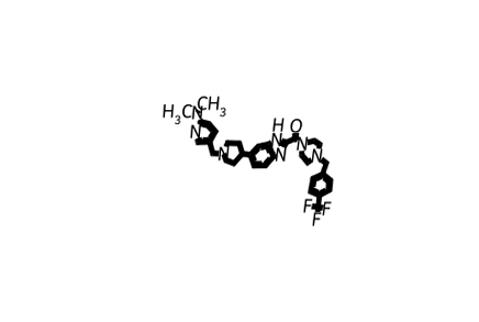 CN(C)c1ccc(CN2CCC(c3ccc4nc(C(=O)N5CCN(Cc6ccc(C(F)(F)F)cc6)CC5)[nH]c4c3)CC2)cn1